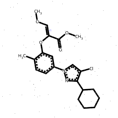 CO/C=C(\Oc1cc(-n2cc(Cl)c(C3CCCCC3)n2)ccc1C)C(=O)OC